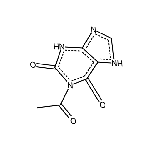 CC(=O)n1c(=O)[nH]c2nc[nH]c2c1=O